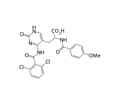 COc1ccc(C(=O)NC(Cc2c[nH]c(=O)nc2NC(=O)c2c(Cl)cccc2Cl)C(=O)O)cc1